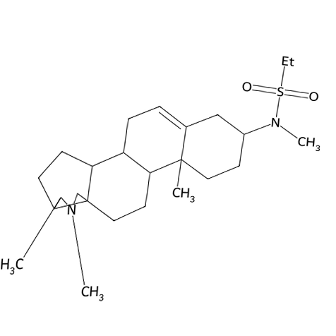 CCS(=O)(=O)N(C)C1CCC2(C)C(=CCC3C2CCC24CN(C)C(C)C2CCC34)C1